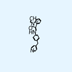 C=CN1C(=O)C(=CNc2ccc(Cc3ccncc3)cc2)c2ccccc21